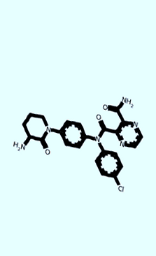 NC(=O)c1nccnc1C(=O)N(c1ccc(Cl)cc1)c1ccc(N2CCCC(N)C2=O)cc1